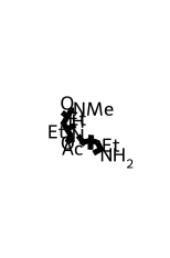 CCC(C)(N)CC(C)(C)C(NC(=O)C(C)(CC)CC(C)(CC)C(=O)NC)C(C)=O